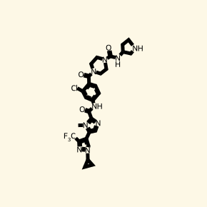 Cn1c(-c2cn(C3CC3)nc2C(F)(F)F)cnc1C(=O)Nc1ccc(C(=O)N2CCN(C(=O)NC3CCNC3)CC2)c(Cl)c1